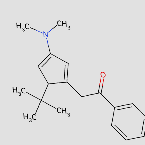 CN(C)C1=CC(C(C)(C)C)C(CC(=O)c2ccccc2)=C1